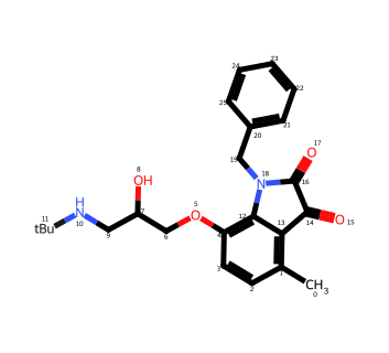 Cc1ccc(OCC(O)CNC(C)(C)C)c2c1C(=O)C(=O)N2Cc1ccccc1